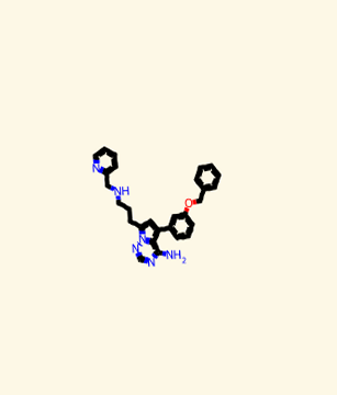 Nc1ncnn2c(CCCNCc3ccccn3)cc(-c3cccc(OCc4ccccc4)c3)c12